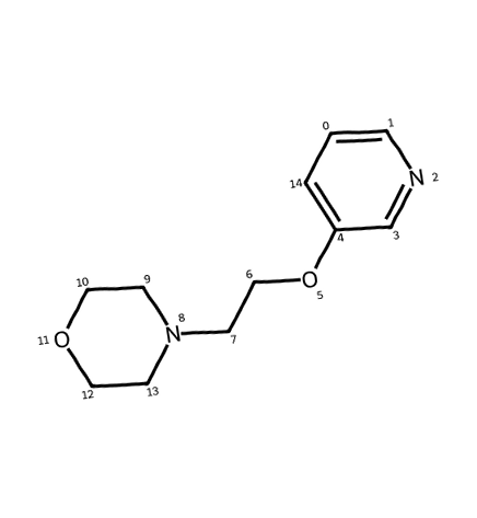 c1cncc(OCCN2CCOCC2)c1